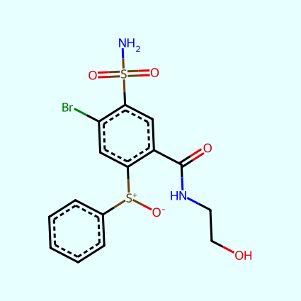 NS(=O)(=O)c1cc(C(=O)NCCO)c([S+]([O-])c2ccccc2)cc1Br